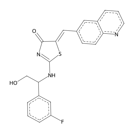 O=C1N=C(NC(CO)c2cccc(F)c2)S/C1=C\c1ccc2ncccc2c1